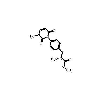 COC(=O)[C@@H](N)Cc1ccc(-n2c(=O)ccn(C)c2=O)cn1